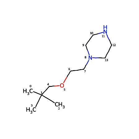 CC(C)(C)COCCN1CCNCC1